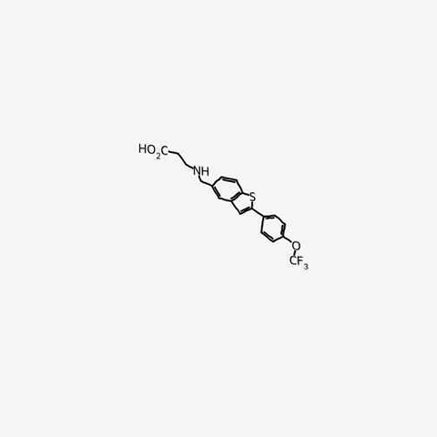 O=C(O)CCNCc1ccc2sc(-c3ccc(OC(F)(F)F)cc3)cc2c1